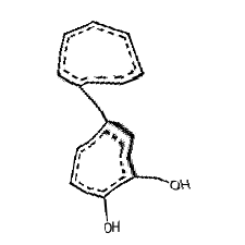 Oc1ccc(-c2ccccc2)cc1O